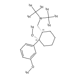 [2H]Oc1cccc([C@]2(O[2H])CCCC[C@H]2CN(C([2H])([2H])[2H])C([2H])([2H])[2H])c1